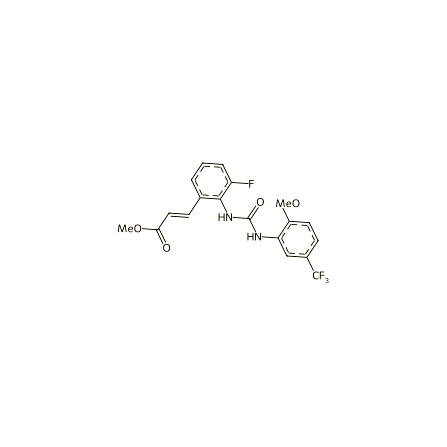 COC(=O)/C=C/c1cccc(F)c1NC(=O)Nc1cc(C(F)(F)F)ccc1OC